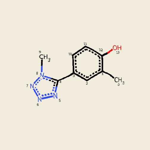 Cc1cc(-c2nnnn2C)ccc1O